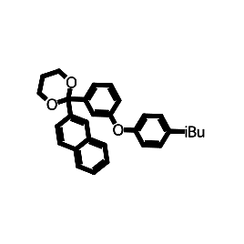 CCC(C)c1ccc(Oc2cccc(C3(c4ccc5ccccc5c4)OCCCO3)c2)cc1